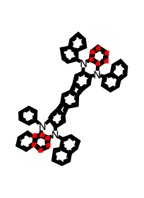 c1ccc(N(c2cc3c(cc2N(c2ccccc2)c2cccc4ccccc24)c2cc4c5cc(N(c6ccccc6)c6cccc7ccccc67)c(N(c6ccccc6)c6cccc7ccccc67)cc5c4cc32)c2cccc3ccccc23)cc1